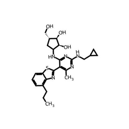 CCCc1cccc2sc(-c3c(C)nc(NCC4CC4)nc3NC3C[C@H](CO)[C@@H](O)[C@H]3O)nc12